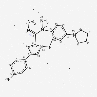 N/N=C1/c2cc(-c3ccc(F)cc3)cn2Cc2cc(N3CCCC3)ccc2N1N